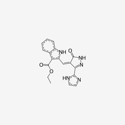 CCOC(=O)c1c(C=C2C(=O)NN=C2c2ncc[nH]2)[nH]c2ccccc12